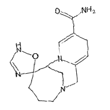 NC(=O)C1=CN2C(=CC1)CN1CCCC3(N=CNO3)C2C1